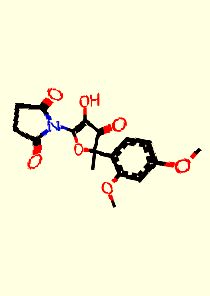 COc1ccc(C2(C)OC(N3C(=O)CCC3=O)=C(O)C2=O)c(OC)c1